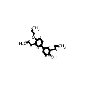 C=CCOc1ccc(-c2ccc(O)c(CC=C)c2)cc1CC=C